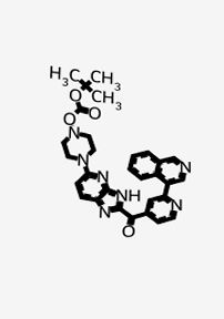 CC(C)(C)OC(=O)ON1CCN(c2ccc3nc(C(=O)c4ccnc(-c5cncc6ccccc56)c4)[nH]c3n2)CC1